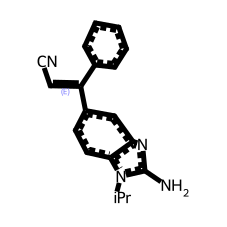 CC(C)n1c(N)nc2cc(/C(=C/C#N)c3ccccc3)ccc21